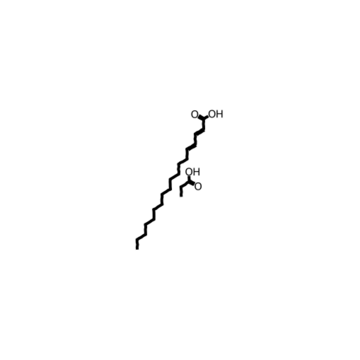 CCC(=O)O.CCCCCCCCCCCCCC=CC=CC(=O)O